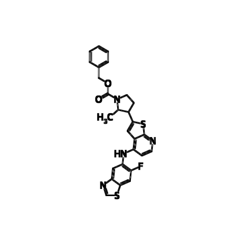 CC1C(c2cc3c(Nc4cc5ncsc5cc4F)ccnc3s2)CCN1C(=O)OCc1ccccc1